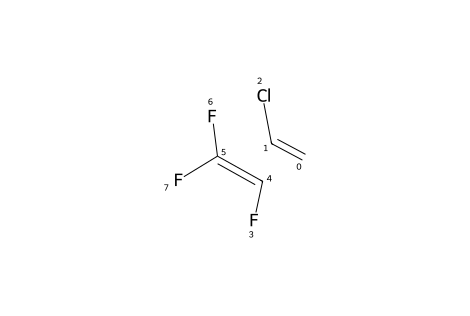 C=CCl.FC=C(F)F